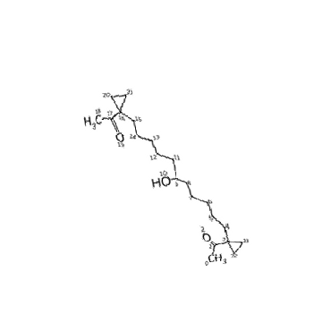 CC(=O)C1(CCCCCC(O)CCCCCC2(C(C)=O)CC2)CC1